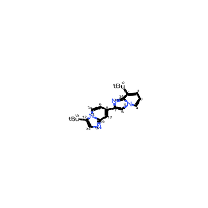 CC(C)(C)c1cccn2cc(-c3ccn4c(C(C)(C)C)cnc4c3)nc12